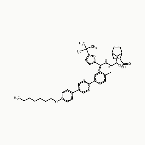 CCCCCCCOc1ccc(-c2cnc(-c3ccc(C[C@H](NC(=O)c4ccc(C(C)(C)C)s4)C(O)N4C5CCC4C(C(=O)O)C5)cc3)nc2)cc1